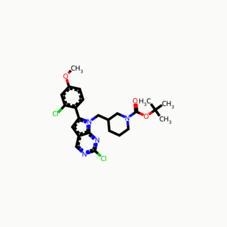 COc1ccc(-c2cc3cnc(Cl)nc3n2CC2CCCN(C(=O)OC(C)(C)C)C2)c(Cl)c1